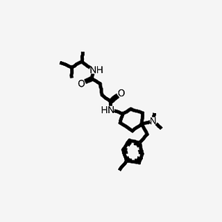 Cc1ccc(CC2(N(C)C)CCC(NC(=O)CCC(=O)NC(C)C(C)C)CC2)cc1